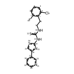 Fc1cccc(Cl)c1CCNC(=S)Nc1nc(-c2cccnc2)cs1